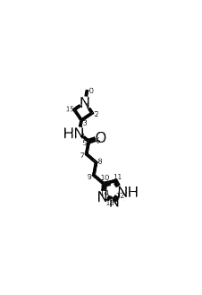 CN1CC(NC(=O)CCCc2c[nH]nn2)C1